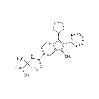 Cn1c(-c2ccccn2)c(C2CCCC2)c2ccc(C(=O)NC(C)(C)C(=O)O)cc21